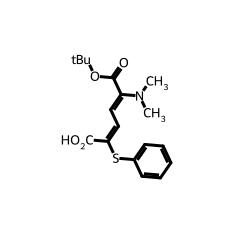 CN(C)C(=CC=C(Sc1ccccc1)C(=O)O)C(=O)OC(C)(C)C